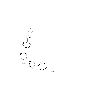 CNCc1ccc(-c2nnc(-c3nc(-c4ccc(S(=O)(=O)N5CCC5)cc4)cnc3N)o2)cc1